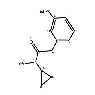 CCCN(C(=O)Cc1cccc(SC)c1)C1CC1